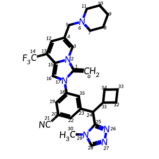 C=C1N2C=C(CN3CCCCC3)C=C(C(F)(F)F)C2=CN1c1cc(C#N)cc(C(c2nncn2C)C2CCC2)c1